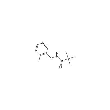 Cc1ccncc1CNC(=O)C(C)(C)C